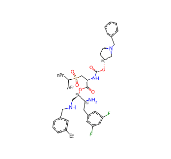 CCCC(CCC)S(=O)(=O)CC(NC(=O)O[C@@H]1CCN(Cc2ccccc2)C1)C(=O)O[C@H](CNCc1cccc(CC)c1)[C@@H](N)Cc1cc(F)cc(F)c1